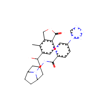 Cc1c(C(O)CN2C3CCC2CC(NC(=O)c2ccc(-n4cnnn4)cn2)C3)ccc2c1COC2=O